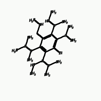 BBCc1c(B(B)BB)c(B(B)B)c(CC)c(B(BB)B(B)B)c1B(B)B(B)B